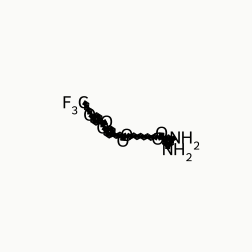 Nc1cc(N)cc(C(=O)OCCCCCCCCOC(=O)C=Cc2ccc(OC(=O)c3ccc(OCCCC(F)(F)F)cc3)cc2)c1